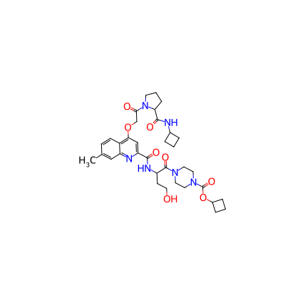 Cc1ccc2c(OCC(=O)N3CCCC3C(=O)NC3CCC3)cc(C(=O)NC(CCO)C(=O)N3CCN(C(=O)OC4CCC4)CC3)nc2c1